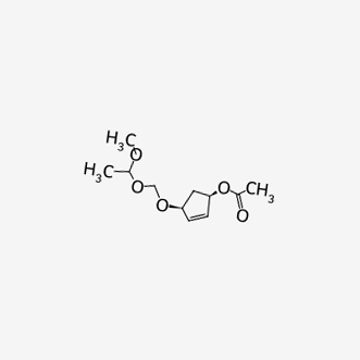 COC(C)OCO[C@@H]1C=C[C@H](OC(C)=O)C1